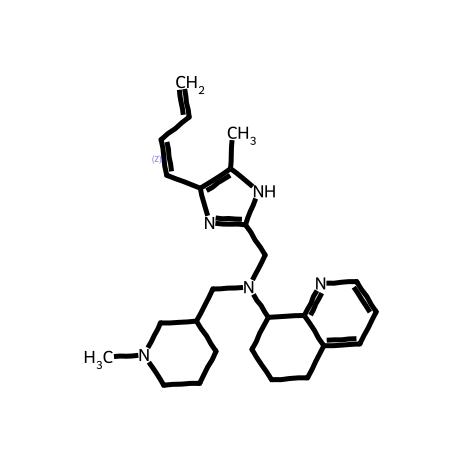 C=C/C=C\c1nc(CN(CC2CCCN(C)C2)C2CCCc3cccnc32)[nH]c1C